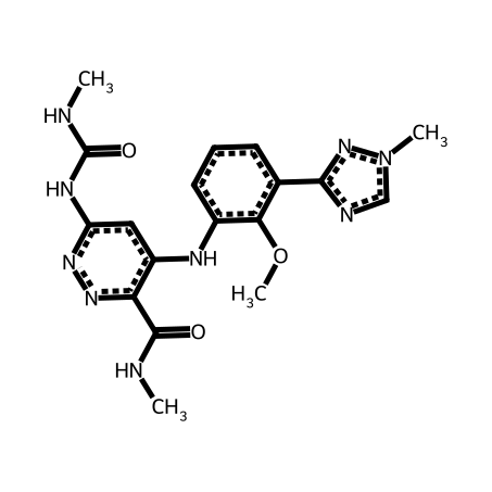 CNC(=O)Nc1cc(Nc2cccc(-c3ncn(C)n3)c2OC)c(C(=O)NC)nn1